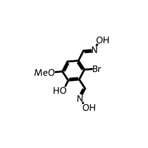 COc1cc(/C=N/O)c(Br)c(C=NO)c1O